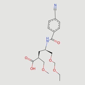 CCOCOC[C@@H](C[C@@H](COC)C(=O)O)NC(=O)c1ccc(C#N)cc1